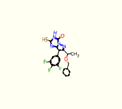 CC(OCc1ccccc1)c1nn2c(=O)[nH]c(S)nc2c1-c1cc(F)c(F)c(F)c1